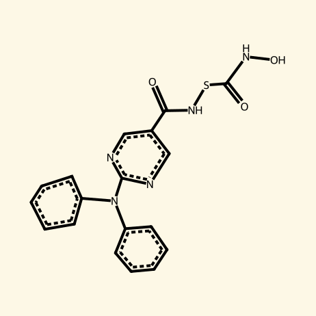 O=C(NO)SNC(=O)c1cnc(N(c2ccccc2)c2ccccc2)nc1